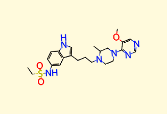 CCS(=O)(=O)Nc1ccc2[nH]cc(CCCN3CCN(c4ncncc4OC)CC3C)c2c1